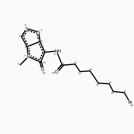 Cn1c2cssc-2c(NC(=O)CCCCCCCBr)c1=O